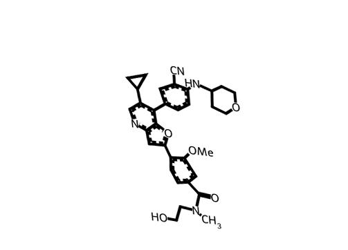 COc1cc(C(=O)N(C)CCO)ccc1-c1cc2ncc(C3CC3)c(-c3ccc(NC4CCOCC4)c(C#N)c3)c2o1